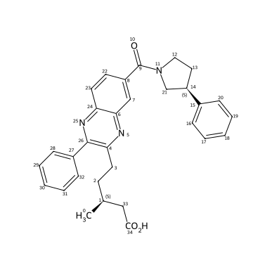 C[C@@H](CCc1nc2cc(C(=O)N3CC[C@@H](c4ccccc4)C3)ccc2nc1-c1ccccc1)CC(=O)O